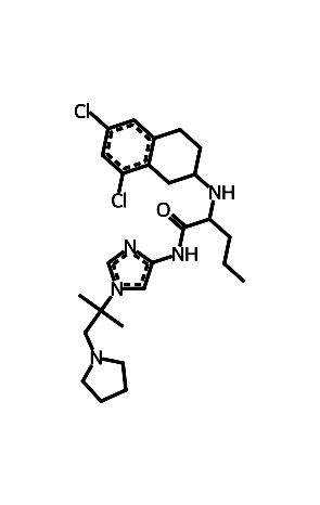 CCCC(NC1CCc2cc(Cl)cc(Cl)c2C1)C(=O)Nc1cn(C(C)(C)CN2CCCC2)cn1